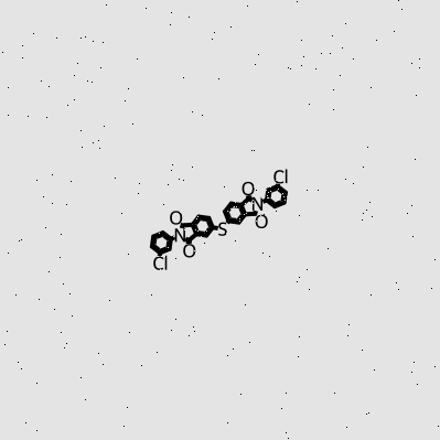 O=C1c2ccc(Sc3ccc4c(c3)C(=O)N(c3cccc(Cl)c3)C4=O)cc2C(=O)N1c1cccc(Cl)c1